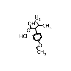 CCOc1ccc(C(C(=O)O)C(C)C)cc1.Cl